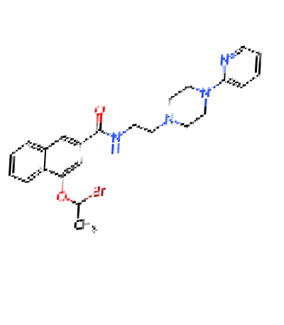 CC(Br)Oc1cc(C(=O)NCCN2CCN(c3ccccn3)CC2)cc2ccccc12